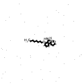 CCCCCCCCOc1cccc2c1C(=N)NC21CCCOO1